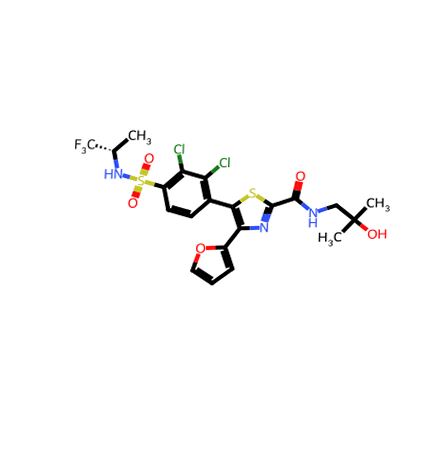 C[C@H](NS(=O)(=O)c1ccc(-c2sc(C(=O)NCC(C)(C)O)nc2-c2ccco2)c(Cl)c1Cl)C(F)(F)F